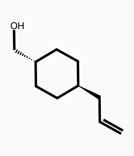 C=CC[C@H]1CC[C@H](CO)CC1